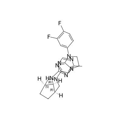 Cc1cc(N2C[C@H]3CC[C@@H](C2)[C@H]3Nc2nc3n(n2)CCN3c2ccc(F)c(F)c2)ncn1